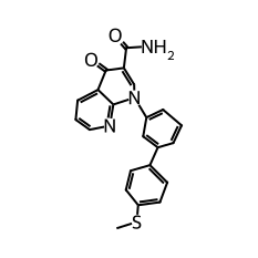 CSc1ccc(-c2cccc(-n3cc(C(N)=O)c(=O)c4cccnc43)c2)cc1